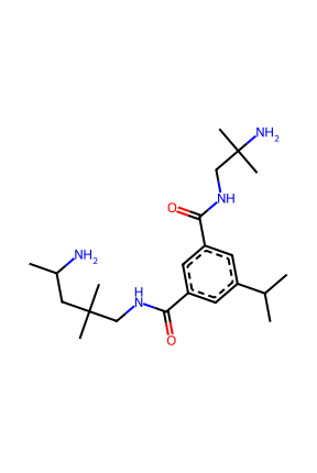 CC(N)CC(C)(C)CNC(=O)c1cc(C(=O)NCC(C)(C)N)cc(C(C)C)c1